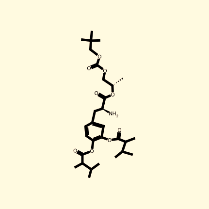 CC(C)C(C)C(=O)Oc1ccc(C[C@H](N)C(=O)O[C@@H](C)COC(=O)OCC(C)(C)C)cc1OC(=O)C(C)C(C)C